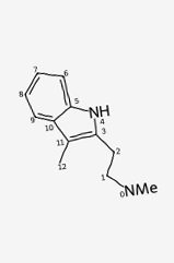 CNCCc1[nH]c2ccccc2c1C